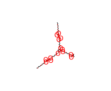 C=C(C)C(=O)OCCCCCCOC(=O)c1cc(OCCCCCCOC(=O)CCC(=O)OCCCCCCCCC)ccc1OCCCCCCOC(=O)CCC(=O)OCCCCCCCCC